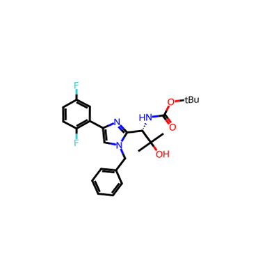 CC(C)(C)OC(=O)N[C@@H](c1nc(-c2cc(F)ccc2F)cn1Cc1ccccc1)C(C)(C)O